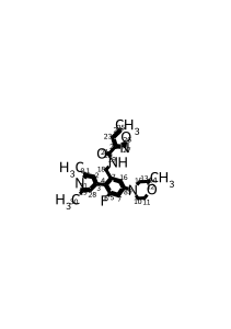 Cc1cc(-c2c(F)cc(N3CCOC(C)C3)cc2CNC(=O)c2cc(C)on2)cc(C)n1